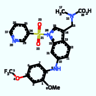 COc1cc(OC(F)(F)F)ccc1Nc1ccc2c(CN(C)C(=O)O)cn(S(=O)(=O)c3cccnc3)c2c1